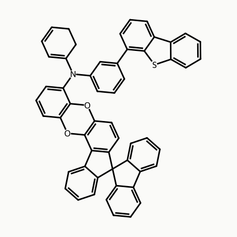 C1=CCCC(N(c2cccc(-c3cccc4c3sc3ccccc34)c2)c2cccc3c2Oc2ccc4c(c2O3)-c2ccccc2C42c3ccccc3-c3ccccc32)=C1